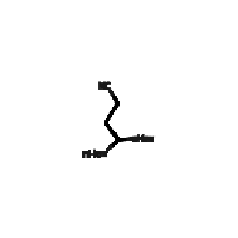 CCCCCCC(CCC#N)CCCCCC